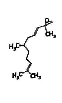 CC(C)=CCC[C@@H](C)C/C=C/C1(C)CO1